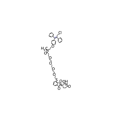 CN(CCOc1ccc(/C(=C(/CCCl)c2ccccc2)c2ccccc2)cc1)C(=O)CCOCCOCCOCCOCCSc1cccc2c1C(=O)N(C1CCC(=O)NC1=O)C2=O